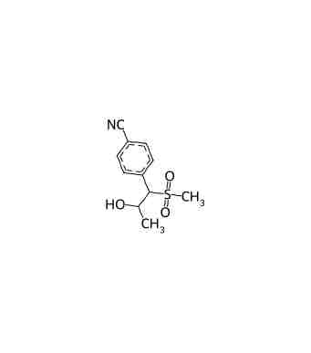 CC(O)C(c1ccc(C#N)cc1)S(C)(=O)=O